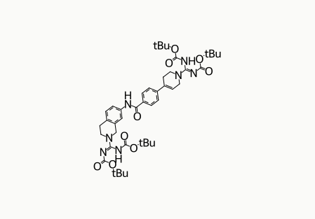 CC(C)(C)OC(=O)N=C(NC(=O)OC(C)(C)C)N1CC=C(c2ccc(C(=O)Nc3ccc4c(c3)CN(C(=NC(=O)OC(C)(C)C)NC(=O)OC(C)(C)C)CC4)cc2)CC1